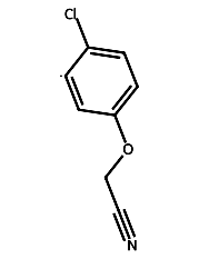 N#CCOc1c[c]c(Cl)cc1